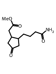 COC(=O)CC1CC(=O)CC1CCCC(N)=O